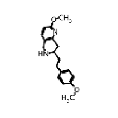 COc1ccc(CCC2Cc3nc(OC)ccc3CN2)cc1